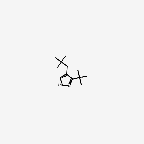 CC(C)(C)Cc1c[nH]nc1C(C)(C)C